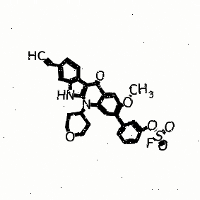 C#Cc1ccc2c(c1)[nH]c1c2c(=O)c2cc(OC)c(-c3cccc(OS(=O)(=O)F)c3)cc2n1C1CCOCC1